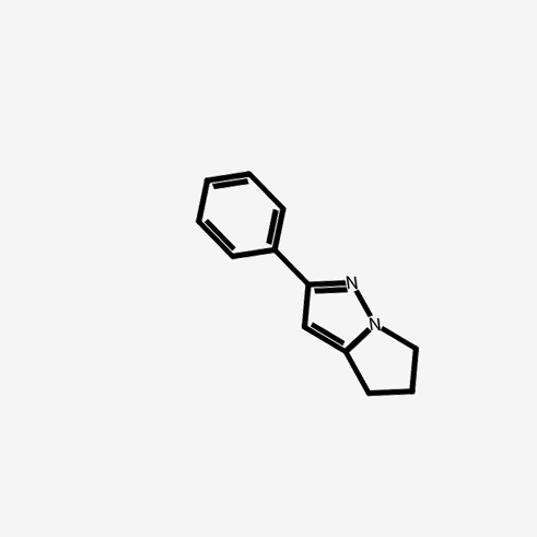 c1ccc(-c2cc3n(n2)CCC3)cc1